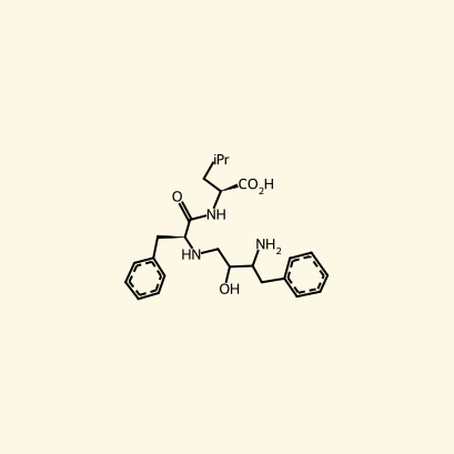 CC(C)C[C@H](NC(=O)[C@H](Cc1ccccc1)NCC(O)C(N)Cc1ccccc1)C(=O)O